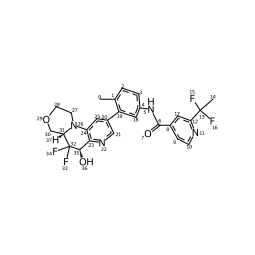 Cc1ccc(NC(=O)c2ccnc(C(C)(F)F)c2)cc1-c1cnc2c(c1)N1CCOC[C@H]1C(F)(F)[C@@H]2O